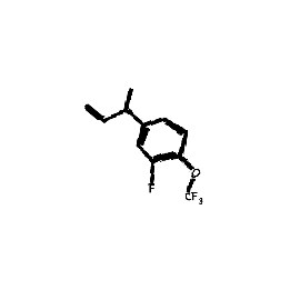 C=C[C](C)c1ccc(OC(F)(F)F)c(F)c1